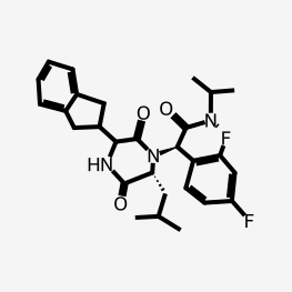 CC(C)C[C@@H]1C(=O)NC(C2Cc3ccccc3C2)C(=O)N1[C@@H](C(=O)N(C)C(C)C)c1ccc(F)cc1F